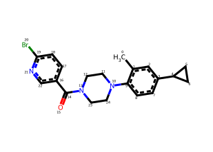 Cc1cc(C2CC2)ccc1N1CCN(C(=O)c2ccc(Br)nc2)CC1